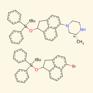 CC(C)(C)[Si](OC1Cc2ccc(Br)c3cccc1c23)(c1ccccc1)c1ccccc1.C[C@@H]1CN(c2ccc3c4c(cccc24)C(O[Si](c2ccccc2)(c2ccccc2)C(C)(C)C)C3)CCN1